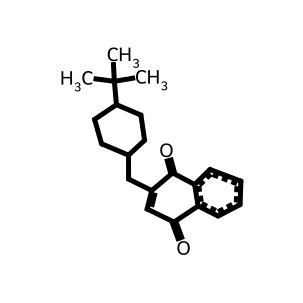 CC(C)(C)C1CCC(CC2=CC(=O)c3ccccc3C2=O)CC1